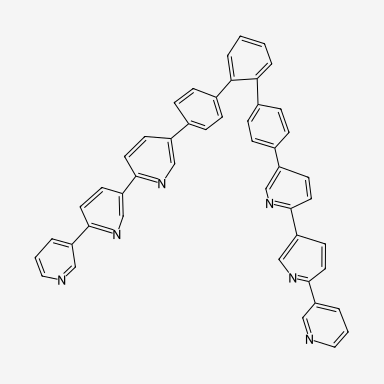 c1cncc(-c2ccc(-c3ccc(-c4ccc(-c5ccccc5-c5ccc(-c6ccc(-c7ccc(-c8cccnc8)nc7)nc6)cc5)cc4)cn3)cn2)c1